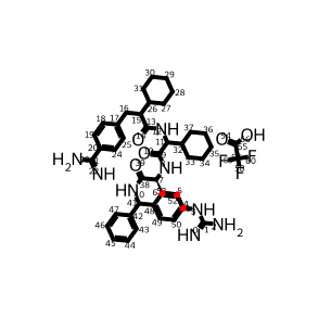 N=C(N)NCCC[C@H](NC(=O)C(NC(=O)C(Cc1ccc(C(=N)N)cc1)C1CCCCC1)C1CCCCC1)C(=O)NC(c1ccccc1)c1ccccc1.O=C(O)C(F)(F)F